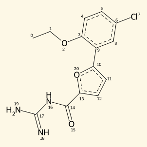 CCOc1ccc(Cl)cc1-c1ccc(C(=O)NC(=N)N)o1